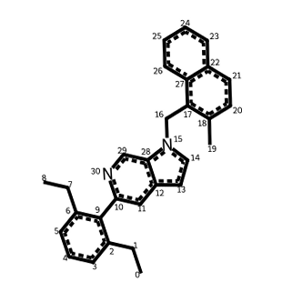 CCc1cccc(CC)c1-c1cc2ccn(Cc3c(C)ccc4ccccc34)c2cn1